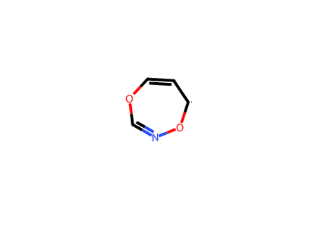 [CH]1C=COC=NO1